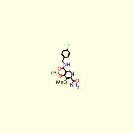 CCCCOc1c(C(=O)NCc2ccc(F)cc2)cnc(C(N)=O)c1OC